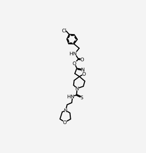 O=C(NCc1ccc(Cl)cc1)OC1=NOC2(CCN(C(=S)NCCN3CCOCC3)CC2)C1